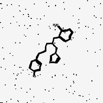 Cc1ccccc1CC(CCCc1ccc(Cl)cc1)Cn1ccnc1